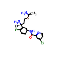 C=C(N)SCC[C@@](N)(CC)c1cc(NC(=O)c2cc(Cl)ccn2)ccc1F